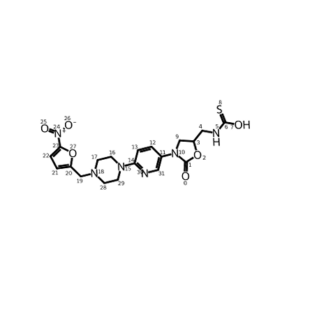 O=C1OC(CNC(O)=S)CN1c1ccc(N2CCN(Cc3ccc([N+](=O)[O-])o3)CC2)nc1